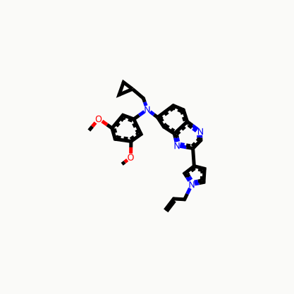 C=CCn1ccc(-c2cnc3ccc(N(CC4CC4)c4cc(OC)cc(OC)c4)cc3n2)c1